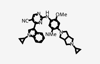 CNc1cc(Nc2ncc(C#N)c(-c3cn(C4CC4)c4ccccc34)n2)c(OC)cc1N1CC2CN(C3CC3)CC2C1